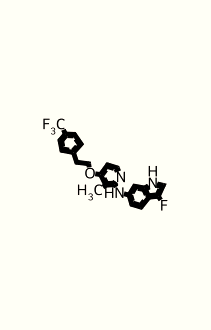 Cc1c(OCCc2ccc(C(F)(F)F)cc2)ccnc1Nc1ccc2c(F)c[nH]c2c1